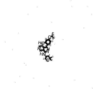 CC1(C)C[C@@H](Nc2nnc(-c3ccc(OC(F)F)cc3O)c3ccncc23)CO1